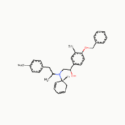 CC[C@]1(N(CC(O)c2ccc(OCc3ccccc3)c([N+](=O)[O-])c2)C(C)Cc2ccc(OC)cc2)C=CC=CC1